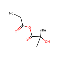 CCCCC(C)(O)C(=O)OC(=O)CC#N